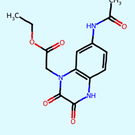 CCOC(=O)Cn1c(=O)c(=O)[nH]c2ccc(NC(C)=O)cc21